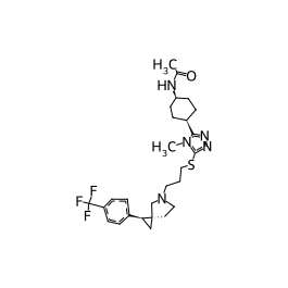 CC(=O)N[C@H]1CC[C@@H](c2nnc(SCCCN3CC[C@@]4(C[C@H]4c4ccc(C(F)(F)F)cc4)C3)n2C)CC1